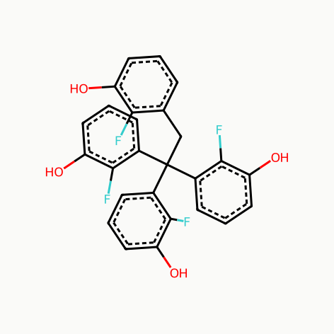 Oc1cccc(CC(c2cccc(O)c2F)(c2cccc(O)c2F)c2cccc(O)c2F)c1F